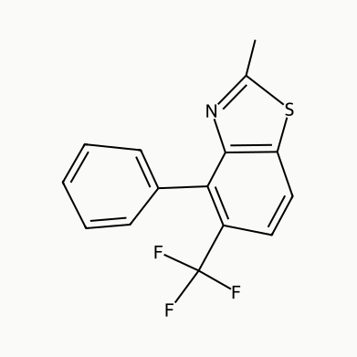 Cc1nc2c(-c3ccccc3)c(C(F)(F)F)ccc2s1